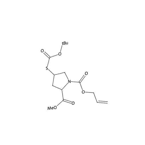 C=CCOC(=O)N1CC(SC(=O)OC(C)(C)C)CC1C(=O)OC